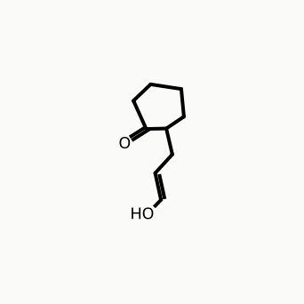 O=C1CCCCC1CC=CO